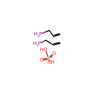 C=CCP.C=CCP.O=S(=O)(O)O